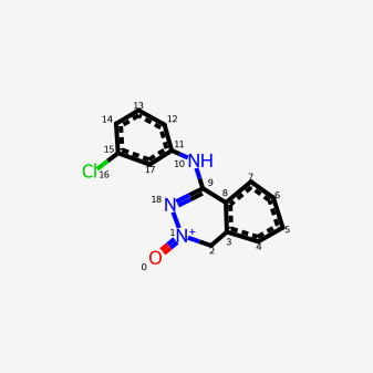 O=[N+]1Cc2ccccc2C(Nc2cccc(Cl)c2)=N1